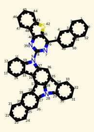 c1ccc2cc(-c3nc(-n4c5ccccc5c5c6c7cc8ccccc8cc7n7c8ccccc8c(cc54)c67)nc4c3sc3ccccc34)ccc2c1